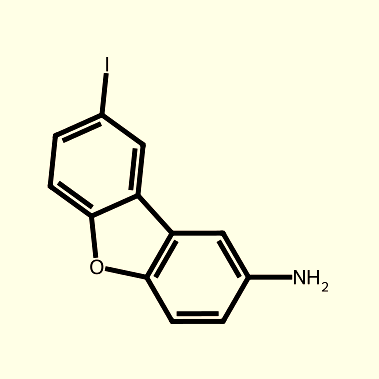 Nc1ccc2oc3ccc(I)cc3c2c1